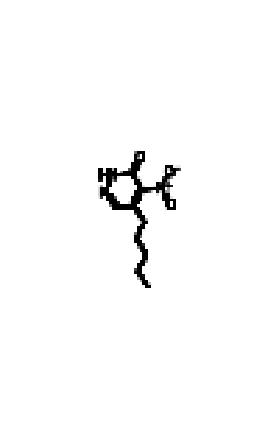 CCCCCc1cn[nH]c(=O)c1[N+](=O)[O-]